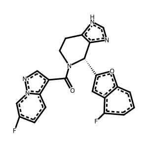 O=C(c1cnn2cc(F)ccc12)N1CCc2[nH]cnc2[C@@H]1c1cc2c(F)cccc2o1